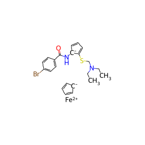 CCN(CC)CSc1ccc[c-]1NC(=O)c1ccc(Br)cc1.[Fe+2].c1cc[cH-]c1